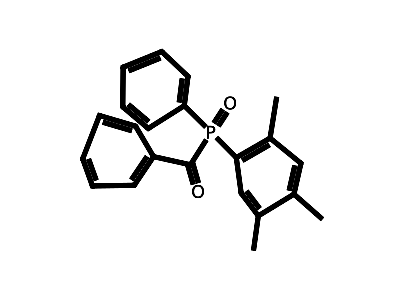 Cc1cc(C)c(P(=O)(C(=O)c2ccccc2)c2ccccc2)cc1C